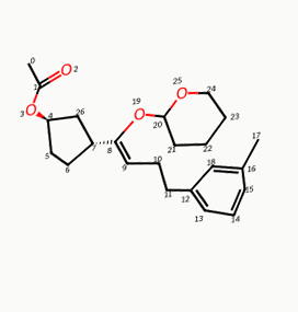 CC(=O)O[C@@H]1CC[C@@H](C(=CCCc2cccc(C)c2)OC2CCCCO2)C1